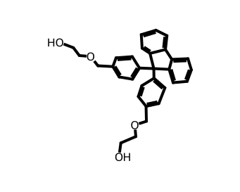 OCCOCc1ccc(C2(c3ccc(COCCO)cc3)c3ccccc3-c3ccccc32)cc1